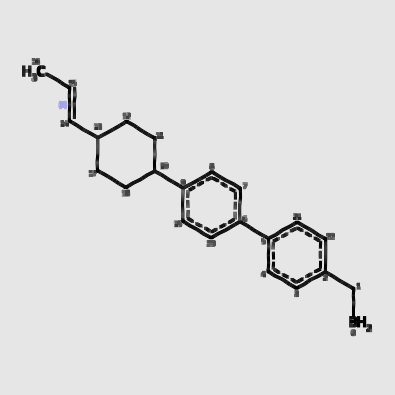 BCc1ccc(-c2ccc(C3CCC(/C=C/C)CC3)cc2)cc1